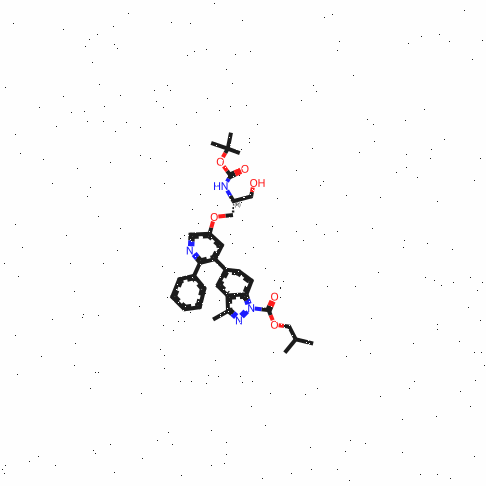 Cc1nn(C(=O)OCC(C)C)c2ccc(-c3cc(OC[C@@H](CO)NC(=O)OC(C)(C)C)cnc3-c3ccccc3)cc12